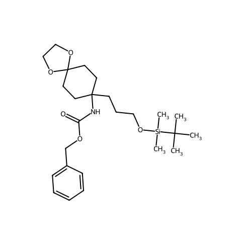 CC(C)(C)[Si](C)(C)OCCCC1(NC(=O)OCc2ccccc2)CCC2(CC1)OCCO2